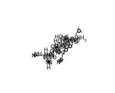 CCc1cc(OCCCCN=[N+]=[N-])ccc1-c1ccc(C[C@H](NC(=O)[C@H](CC(=O)O)NC(=O)[C@H](CO)NC(=O)[C@@H](NC(=O)[C@](C)(Cc2ccccc2F)NC(=O)[C@@H](NC(=O)CNC(=O)[C@H](Cc2nn[nH]n2)NC(=O)C(C)(C)NC(=O)CCCCc2cnc[nH]2)[C@@H](C)O)[C@@H](C)O)C(=O)N[C@@H](CCCc2cc(C)cc(C)c2)C(N)=O)cc1